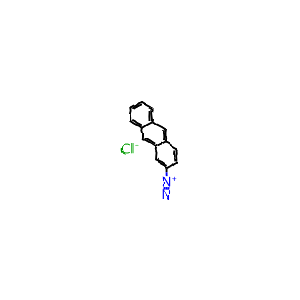 N#[N+]c1ccc2cc3ccccc3cc2c1.[Cl-]